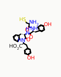 N[C@@H](CS)C(=O)N[C@@H](Cc1ccc(O)cc1)C(=O)N[C@@H](Cc1ccccc1)C(=O)N[C@@H](Cc1ccc(O)cc1)C(=O)O